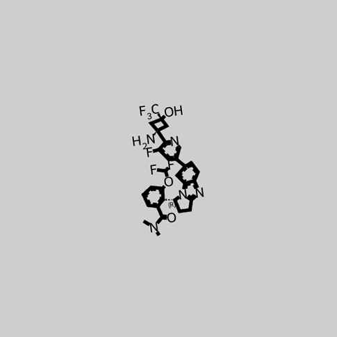 CN(C)C(=O)c1cccc(OC(F)F)c1[C@H]1CCc2nc3ccc(-c4cnc([C@]5(N)C[C@](O)(C(F)(F)F)C5)c(F)c4)cc3n21